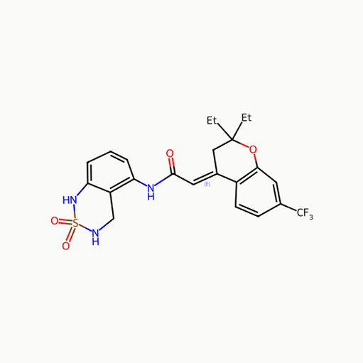 CCC1(CC)C/C(=C\C(=O)Nc2cccc3c2CNS(=O)(=O)N3)c2ccc(C(F)(F)F)cc2O1